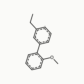 CCc1[c]ccc(-c2ccccc2OC)c1